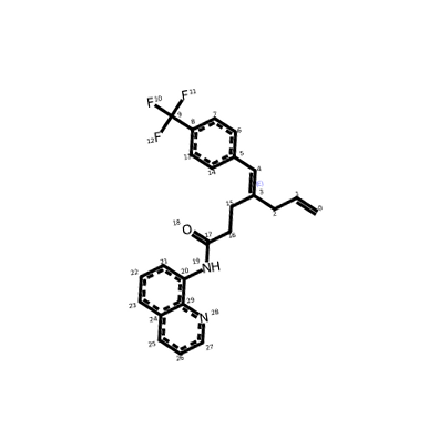 C=CC/C(=C/c1ccc(C(F)(F)F)cc1)CCC(=O)Nc1cccc2cccnc12